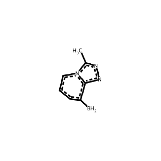 Bc1cccn2c(C)nnc12